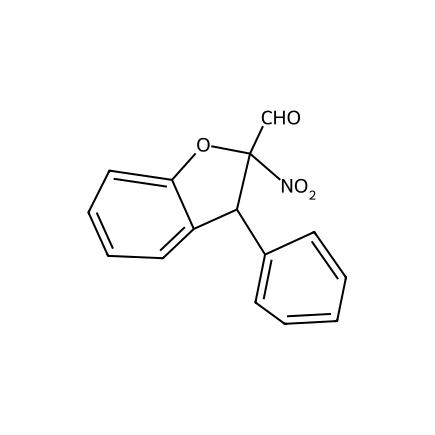 O=CC1([N+](=O)[O-])Oc2ccccc2C1c1ccccc1